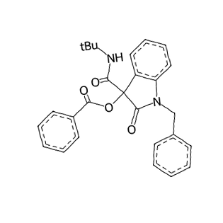 CC(C)(C)NC(=O)C1(OC(=O)c2ccccc2)C(=O)N(Cc2ccccc2)c2ccccc21